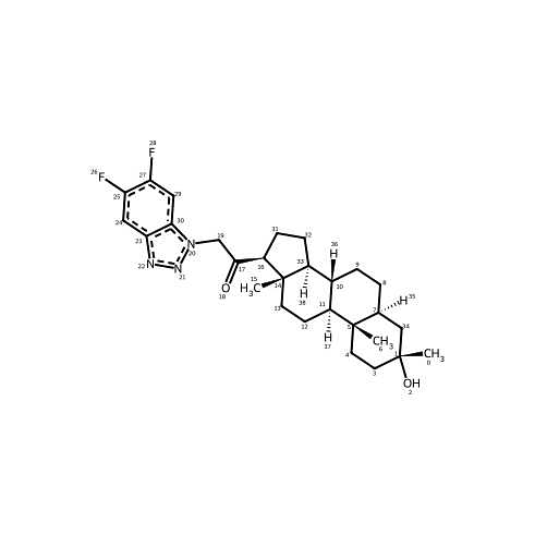 C[C@@]1(O)CC[C@@]2(C)[C@@H](CC[C@@H]3[C@@H]2CC[C@]2(C)[C@@H](C(=O)Cn4nnc5cc(F)c(F)cc54)CC[C@@H]32)C1